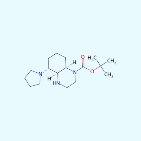 CC(C)(C)OC(=O)N1CCN[C@H]2[C@H](N3CCCC3)CCC[C@H]21